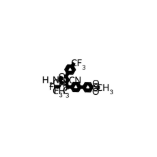 CC(C)(F)C[C@@H](C(N)=O)N([C@H](C#N)Cc1ccc(C(F)(F)F)cc1)[C@@H](c1ccc(-c2ccc(S(C)(=O)=O)cc2)cc1)C(F)(F)F